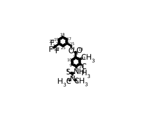 Cc1c(NC(=S)N(C)C)ccc(C(=O)OCc2cccc(C(F)(F)F)c2)c1C